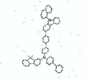 CC1(C)c2ccccc2-c2ccc(N(c3ccc(-c4ccccc4)cc3)c3ccc(-c4ccc(-c5ccc6c(c5)c5ccccc5n6-c5cccc6ccccc56)cc4)cc3)cc21